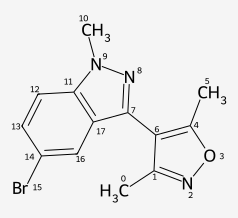 Cc1noc(C)c1-c1nn(C)c2ccc(Br)cc12